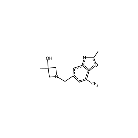 Cc1nc2cc(CN3CC(C)(O)C3)cc(C(F)(F)F)c2o1